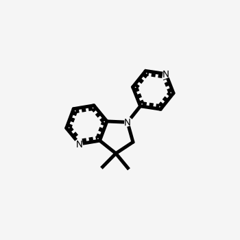 CC1(C)CN(c2ccncc2)c2cccnc21